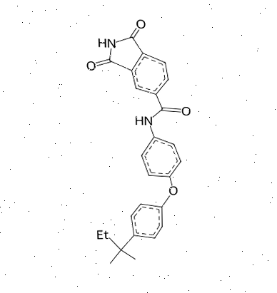 CCC(C)(C)c1ccc(Oc2ccc(NC(=O)c3ccc4c(c3)C(=O)NC4=O)cc2)cc1